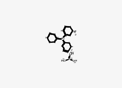 C1CCC(P(C2CCCCC2)C2CCCCC2)CC1.F.OB(O)O